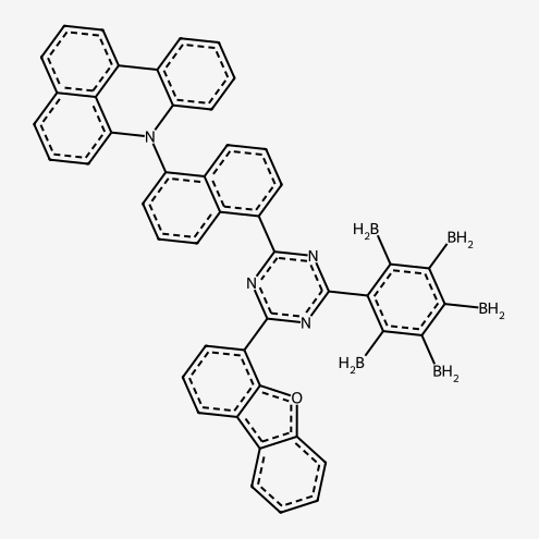 Bc1c(B)c(B)c(-c2nc(-c3cccc4c(N5c6ccccc6-c6cccc7cccc5c67)cccc34)nc(-c3cccc4c3oc3ccccc34)n2)c(B)c1B